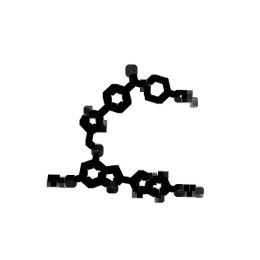 COc1cc(OCc2csc(-c3ccc(C(=O)N4CCC(C)CC4)cc3)n2)c2cc(-c3cn4nc(OC)sc4n3)oc2c1